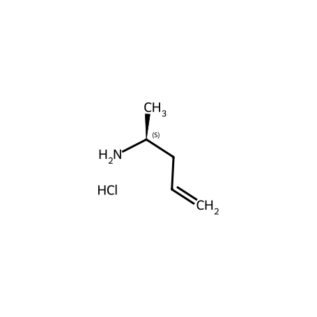 C=CC[C@H](C)N.Cl